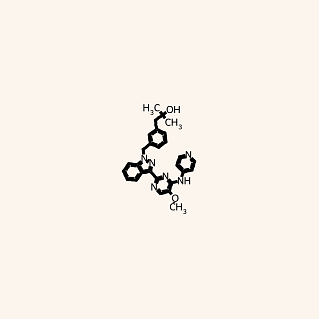 COc1cnc(-c2nn(Cc3cccc(CC(C)(C)O)c3)c3ccccc23)nc1Nc1ccncc1